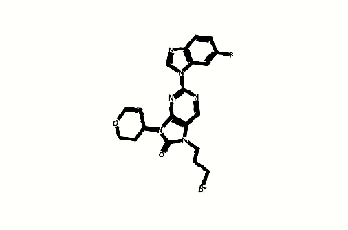 O=c1n(CCCBr)c2cnc(-n3cnc4ccc(F)cc43)nc2n1C1CCOCC1